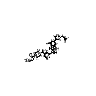 Cc1cc(C2C=NN(CC3CC3)C2)cc2[nH]c(Nc3cc(C(C)N4CCN(C(=O)OC(C)(C)C)CC4)ccn3)nc12